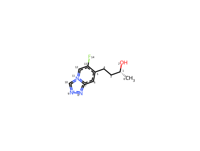 C[C@@H](O)CCc1cc2nncn2cc1F